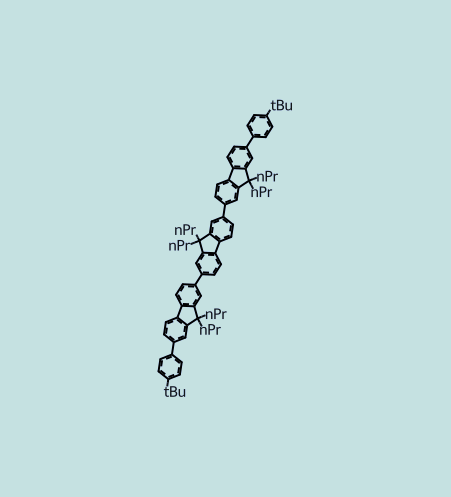 CCCC1(CCC)c2cc(-c3ccc(C(C)(C)C)cc3)ccc2-c2ccc(-c3ccc4c(c3)C(CCC)(CCC)c3cc(-c5ccc6c(c5)C(CCC)(CCC)c5cc(-c7ccc(C(C)(C)C)cc7)ccc5-6)ccc3-4)cc21